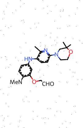 CNc1ccc(Nc2ccc(N3CCOC(C)(C)C3)nc2C)cc1OCC=O